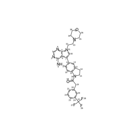 Nc1ncnc2c1c(-c1ccc3c(c1)CCN3C(=O)Cc1cccc(C(F)(F)F)c1)cn2CCN1CCOCC1